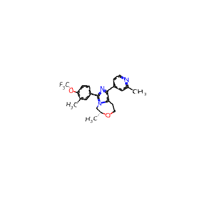 Cc1cc(-c2nc(-c3ccc(OC(F)(F)F)c(C)c3)n3c2CCO[C@H](C)C3)ccn1